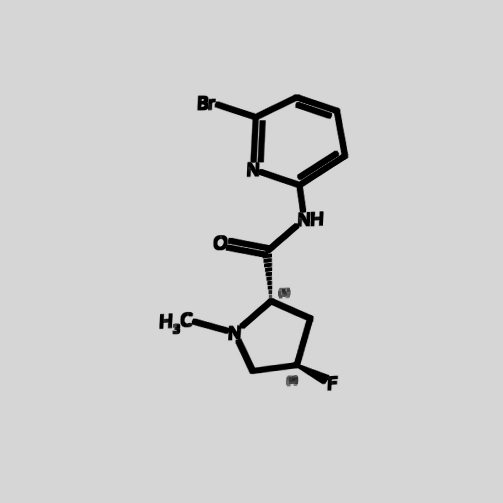 CN1C[C@H](F)C[C@H]1C(=O)Nc1cccc(Br)n1